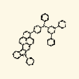 c1ccc(-c2cc(-c3ccccc3)cc(N(c3ccccc3)c3ccc(-c4ccc5ccc6c7c(ccc4c57)cc4c6c5ccccc5n4-c4ccccc4)cc3)c2)cc1